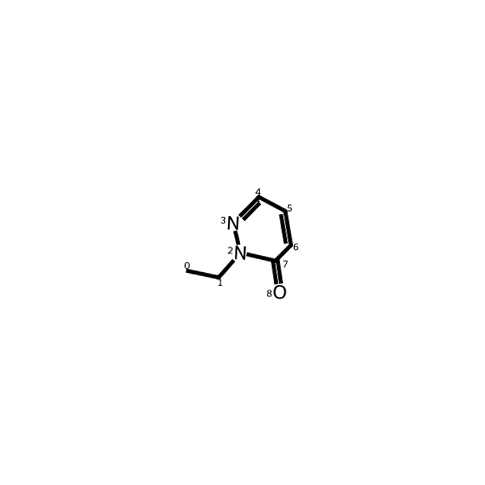 CCn1n[c]ccc1=O